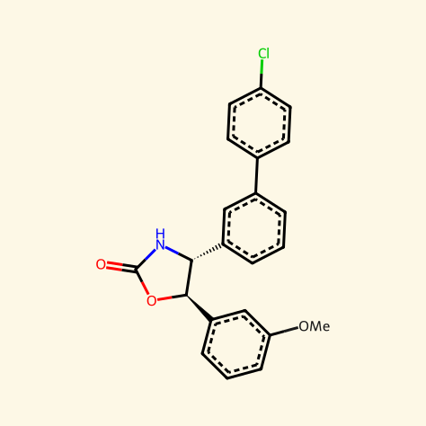 COc1cccc([C@H]2OC(=O)N[C@@H]2c2cccc(-c3ccc(Cl)cc3)c2)c1